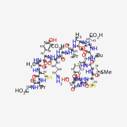 CC[C@H](C)[C@H](NC(=O)[C@H](Cc1ccc(O)cc1)NC(=O)[C@H](CCSC)NC(=O)[C@H](CS)NC(=O)[C@@H](NC(=O)[C@@H](N)CO)C(C)C)C(=O)N[C@@H](CCC(=O)O)C(=O)N[C@@H](C)C(=O)N[C@@H](CC(C)C)C(=O)N[C@@H](CC(=O)O)C(=O)N[C@@H](CCCCN)C(=O)N[C@@H](Cc1ccc(O)cc1)C(=O)N[C@@H](C)C(=O)N[C@@H](CS)C(=O)N[C@H](C(=O)NCC(=O)O)C(C)C